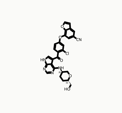 N#Cc1cc(Oc2ccc(C(=O)c3c[nH]c4ncnc(N[C@@H]5CC[C@@H](CO)OC5)c34)c(Cl)c2)c2occc2c1